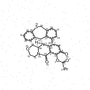 CC(C)C(=O)Oc1c2n(ccc1=O)N([C@@H]1c3ccccc3SCc3cccc(F)c31)[C@@H]1COCCN1C2=O